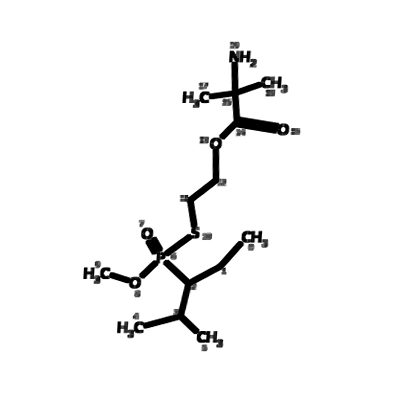 CCC(C(C)C)P(=O)(OC)SCCOC(=O)C(C)(C)N